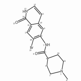 CN1CCC(C(=O)Nc2cc3cc[nH]c(=O)c3cc2Br)CC1